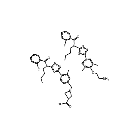 CCCCN(C(=O)c1ccccc1Cl)c1nnc(-c2ccc(CN3CC(C(=O)O)C3)cc2C)s1.CCCCN(C(=O)c1ccccc1F)c1nnc(-c2cc(C)c(OCCN)c(C)c2)s1